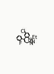 CCc1nnc2n1-c1ccc(Cl)cc1C(c1ccccc1F)=CC2